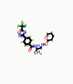 CC(C=NOC1CCCCO1)NC(=O)c1ccc(-c2noc(C(F)(F)F)n2)cc1